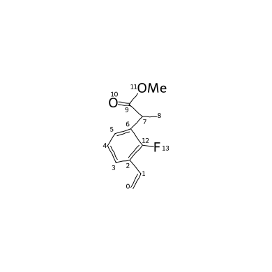 C=Cc1cccc(C(C)C(=O)OC)c1F